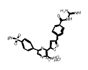 CC(C)S(=O)(=O)c1ccc(-c2cnc(N)c(-c3cc(-c4ccc(C(=O)NC(=N)N)cc4)no3)n2)cc1.Cl.Cl